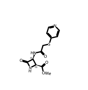 COC(=O)[C@H]1NC(=O)[C@H]1NC(=O)CSc1ccncc1